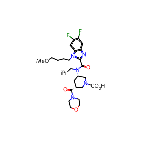 COCCCCn1c(C(=O)N(CC(C)C)[C@H]2C[C@@H](C(=O)N3CCOCC3)CN(C(=O)O)C2)nc2cc(F)c(F)cc21